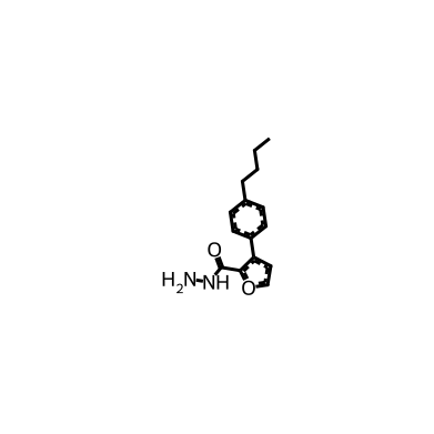 CCCCc1ccc(-c2ccoc2C(=O)NN)cc1